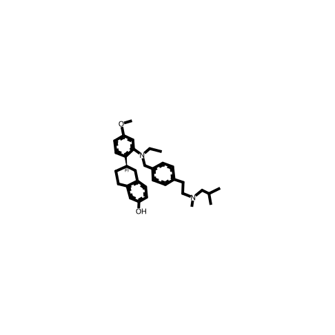 CCN(Cc1ccc(CCN(C)CC(C)C)cc1)c1cc(OC)ccc1[C@@H]1CCc2cc(O)ccc2C1